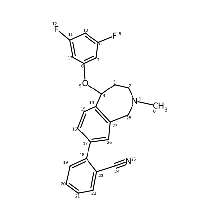 CN1CCC(Oc2cc(F)cc(F)c2)c2ccc(-c3ccccc3C#N)cc2C1